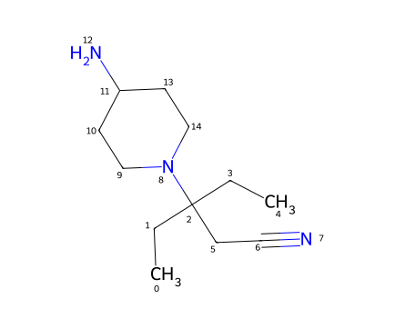 CCC(CC)(CC#N)N1CCC(N)CC1